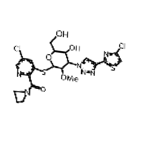 COC1C(Sc2cc(Cl)cnc2C(=O)N2CCC2)OC(CO)C(O)C1n1cc(-c2nc(Cl)cs2)nn1